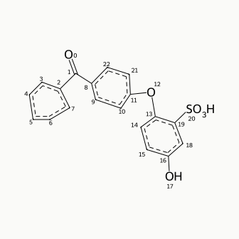 O=C(c1ccccc1)c1ccc(Oc2ccc(O)cc2S(=O)(=O)O)cc1